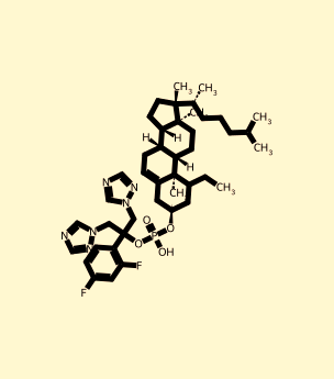 CCC1C[C@@H](OP(=O)(O)OC(Cn2cncn2)(Cn2cncn2)c2ccc(F)cc2F)CC2=CC[C@@H]3[C@@H]4CC[C@](C)([C@H](C)CCCC(C)C)[C@@]4(C)CC[C@@H]3[C@]21C